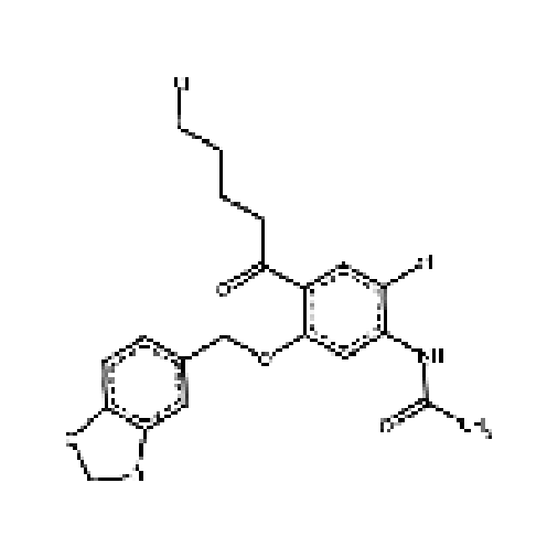 CC(=O)Nc1cc(OCc2ccc3c(c2)OCO3)c(C(=O)CCCCCl)cc1Cl